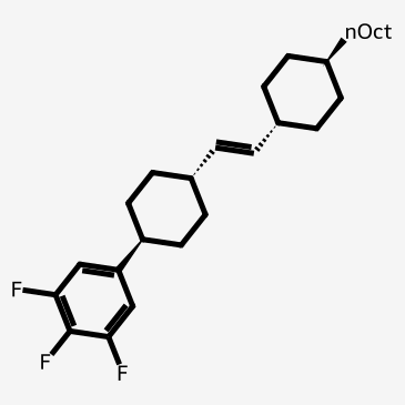 CCCCCCCC[C@H]1CC[C@H](C=C[C@H]2CC[C@H](c3cc(F)c(F)c(F)c3)CC2)CC1